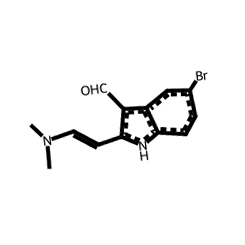 CN(C)C=Cc1[nH]c2ccc(Br)cc2c1C=O